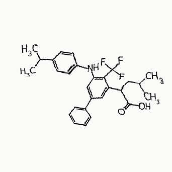 CC(C)CC(C(=O)O)c1cc(-c2ccccc2)cc(Nc2ccc(C(C)C)cc2)c1C(F)(F)F